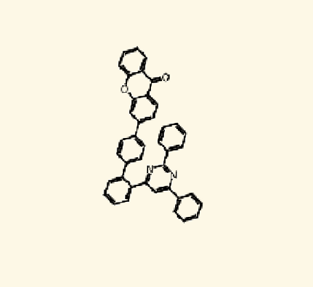 O=c1c2ccccc2oc2cc(-c3ccc(-c4ccccc4-c4cc(-c5ccccc5)nc(-c5ccccc5)n4)cc3)ccc12